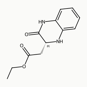 CCOC(=O)C[C@H]1Nc2ccccc2NC1=O